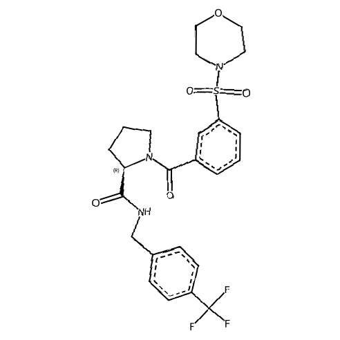 O=C(NCc1ccc(C(F)(F)F)cc1)[C@H]1CCCN1C(=O)c1cccc(S(=O)(=O)N2CCOCC2)c1